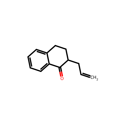 C=CCC1CCc2ccccc2C1=O